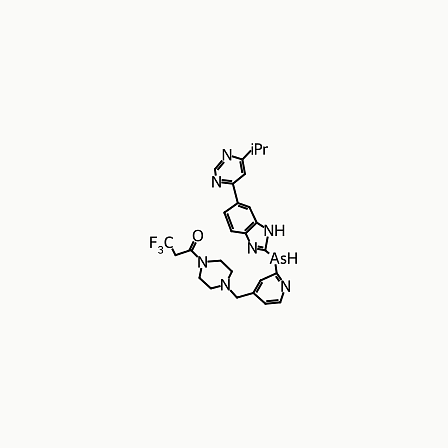 CC(C)c1cc(-c2ccc3nc([AsH]c4cc(CN5CCN(C(=O)CC(F)(F)F)CC5)ccn4)[nH]c3c2)ncn1